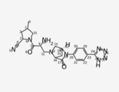 CC1CC(C#N)N(C(=O)C(N)CN2C[C@@H]3CC2C(=O)N3c2ccc(-c3nnn[nH]3)cc2)C1